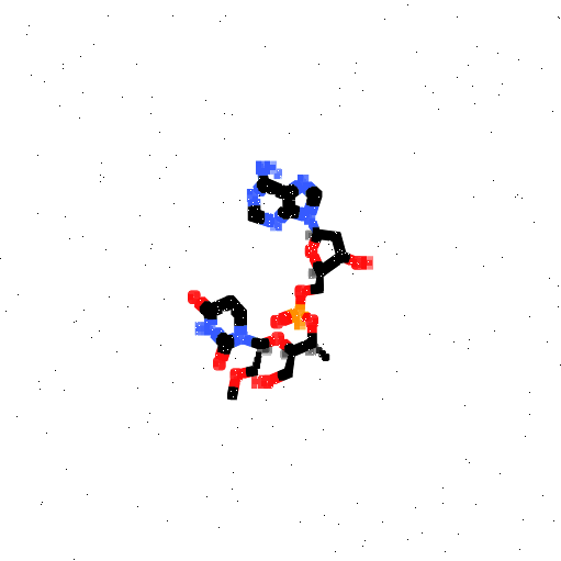 COC[C@@H](O[C@H](CO)[C@@H](C)O[PH](=O)OC[C@H]1O[C@@H](n2cnc3c(N)ncnc32)CC1O)n1ccc(=O)[nH]c1=O